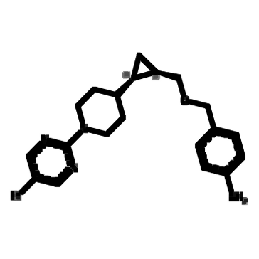 CCc1cnc(N2CCC([C@H]3C[C@H]3COCc3ccc(N)cc3)CC2)nc1